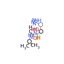 Cc1ccc(-n2nc(C)c(NC(c3cccc(C4CCCC(c5nnn[nH]5)C4)c3O)C(F)(F)F)c2O)cc1C